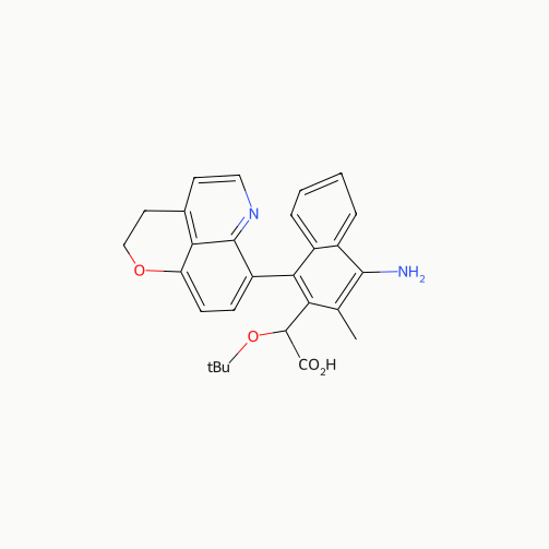 Cc1c(C(OC(C)(C)C)C(=O)O)c(-c2ccc3c4c(ccnc24)CCO3)c2ccccc2c1N